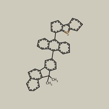 CC1(C)c2ccc(-c3c4ccccc4c(-c4cccc5c4sc4ccccc45)c4ccccc34)cc2-c2ccc3ccccc3c21